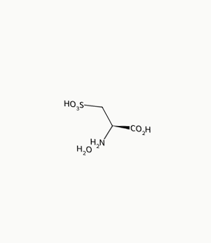 N[C@@H](CS(=O)(=O)O)C(=O)O.O